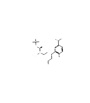 CN(CC[C@@H](CCO)c1cc(C(F)F)ccc1F)C(=O)OC(C)(C)C